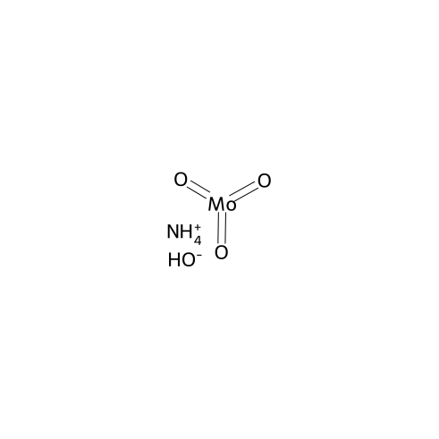 [NH4+].[OH-].[O]=[Mo](=[O])=[O]